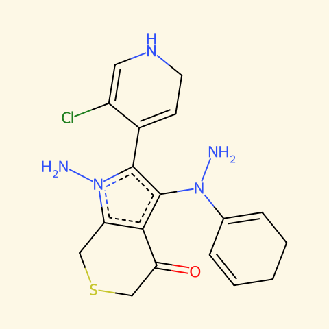 NN(C1=CCCC=C1)c1c2c(n(N)c1C1=CCNC=C1Cl)CSCC2=O